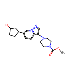 CC(C)(C)OC(=O)N1CCN(c2cnn3cc(C4CCC(O)C4)ccc23)CC1